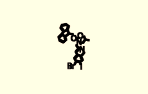 CC(C)CN(Cc1cc2cc(Br)c(I)cc2cn1)C(=O)OCC1c2ccccc2-c2ccccc21